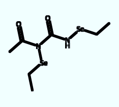 CC[Se]NC(=O)N([Se]CC)C(C)=O